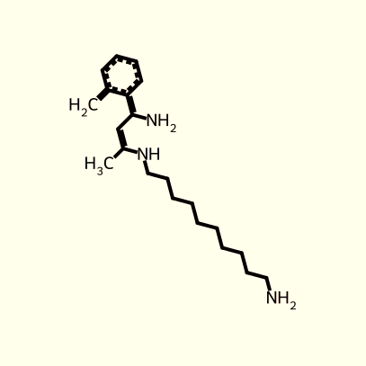 C=c1cccc/c1=C(N)/C=C(/C)NCCCCCCCCCCN